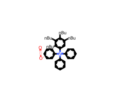 CCCCc1cc([N+](c2ccccc2)(c2ccccc2)c2ccccc2)c(CCCC)c(CCCC)c1CCCC.O=B[O-]